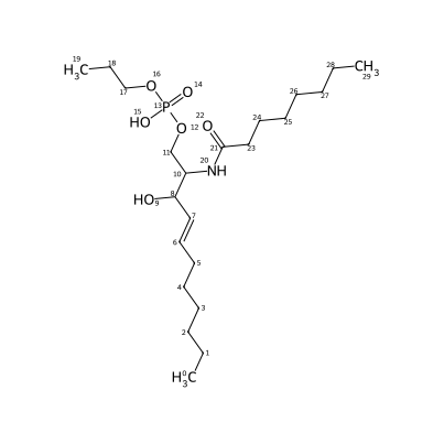 CCCCCC/C=C/C(O)C(COP(=O)(O)OCCC)NC(=O)CCCCCCC